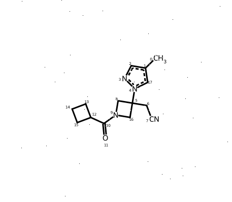 Cc1cnn(C2(CC#N)CN(C(=O)C3CCC3)C2)c1